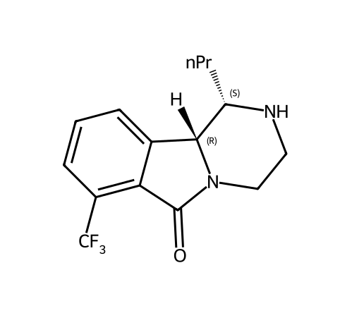 CCC[C@@H]1NCCN2C(=O)c3c(cccc3C(F)(F)F)[C@H]12